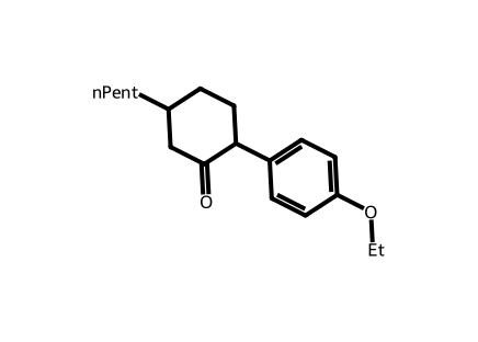 CCCCCC1CCC(c2ccc(OCC)cc2)C(=O)C1